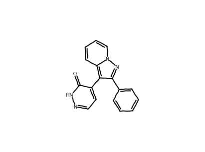 O=c1[nH]nccc1-c1c(-c2ccccc2)nn2ccccc12